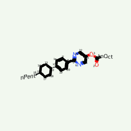 CCCCCCCCC(=O)Oc1cnc(-c2ccc([C@H]3CC[C@H](CCCCC)CC3)cc2)nc1